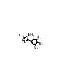 CCc1cc(-c2nnc(S)n2N)cc(CC)c1CC